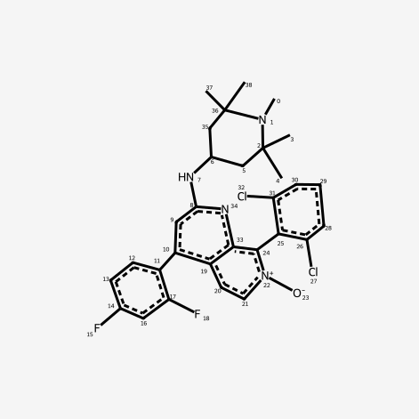 CN1C(C)(C)CC(Nc2cc(-c3ccc(F)cc3F)c3cc[n+]([O-])c(-c4c(Cl)cccc4Cl)c3n2)CC1(C)C